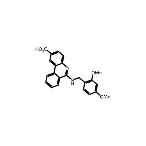 COc1ccc(CNc2nc3ccc(C(=O)O)cc3c3ccccc23)c(OC)c1